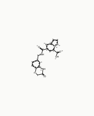 O=C1COc2ccc(CNC(=O)c3cc(C(=O)O)n4nccc4n3)cc2N1